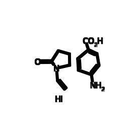 C=CN1CCCC1=O.I.Nc1ccc(C(=O)O)cc1